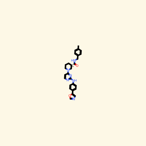 Cc1ccc(CNC(=O)[C@H]2CCCN(c3ccnc(Nc4ccc(-c5cnco5)cc4)n3)C2)cc1